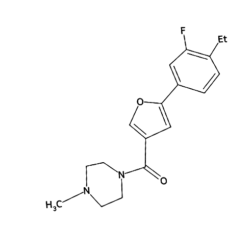 CCc1ccc(-c2cc(C(=O)N3CCN(C)CC3)co2)cc1F